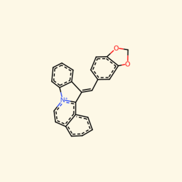 C(=C1/c2ccccc2-[n+]2ccc3ccccc3c21)/c1ccc2c(c1)OCO2